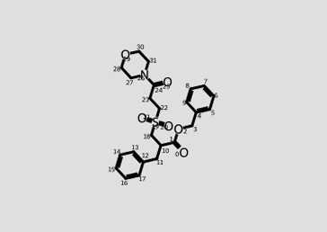 O=C(OCc1ccccc1)C(Cc1ccccc1)CS(=O)(=O)CCC(=O)N1CCOCC1